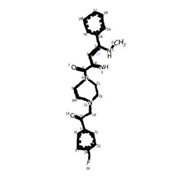 CN/C(=C\C(=N)C(=O)N1CCN(CC(=O)c2ccc(F)cc2)CC1)c1ccccc1